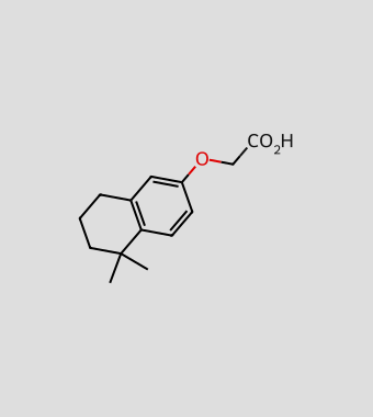 CC1(C)CCCc2cc(OCC(=O)O)ccc21